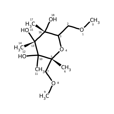 COCC1O[C@](C)(COC)C(C)(O)[C@](C)(O)[C@]1(C)O